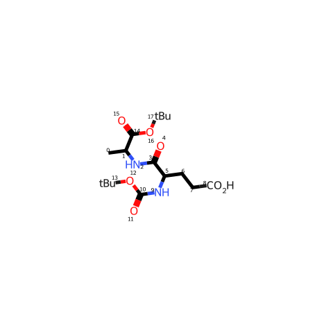 CC(NC(=O)C(CCC(=O)O)NC(=O)OC(C)(C)C)C(=O)OC(C)(C)C